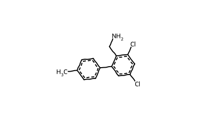 Cc1ccc(-c2cc(Cl)cc(Cl)c2CN)cc1